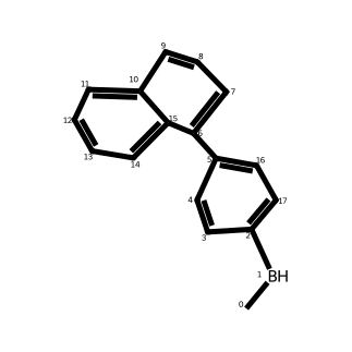 CBc1ccc(-c2cccc3ccccc23)cc1